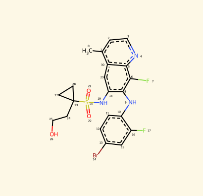 Cc1ccnc2c(F)c(Nc3ccc(Br)cc3F)c(NS(=O)(=O)C3(CCO)CC3)cc12